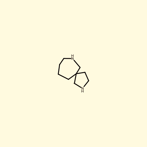 [CH]1NCCC12CCCCNC2